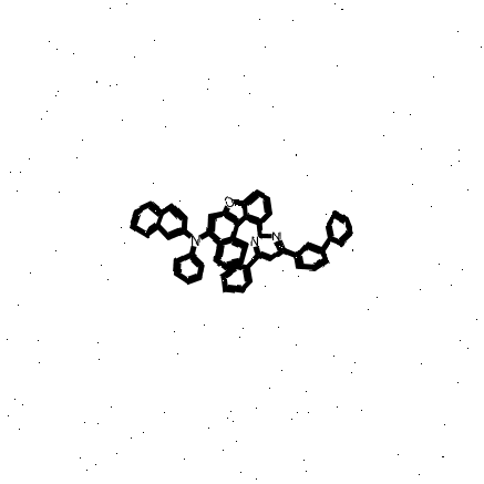 c1ccc(-c2cccc(-c3cc(-c4ccccc4)nc(-c4cccc5oc6cc(N(c7ccccc7)c7ccc8ccccc8c7)c7ccccc7c6c45)n3)c2)cc1